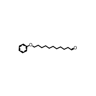 O=CCCCCCCCCCCOc1ccccc1